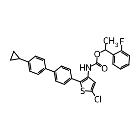 CC(OC(=O)Nc1cc(Cl)sc1-c1ccc(-c2ccc(C3CC3)cc2)cc1)c1ccccc1F